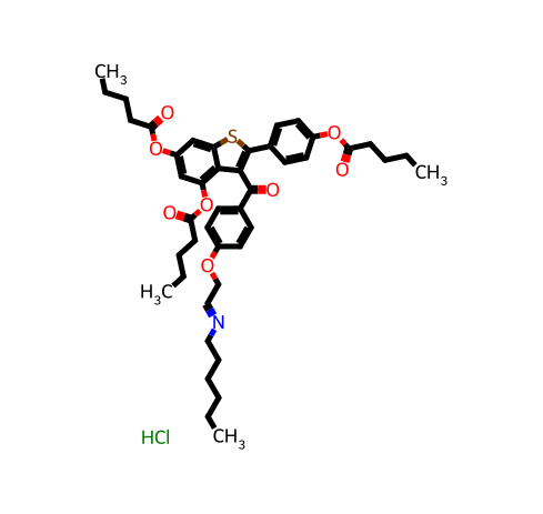 CCCCCCN=CCOc1ccc(C(=O)c2c(-c3ccc(OC(=O)CCCC)cc3)sc3cc(OC(=O)CCCC)cc(OC(=O)CCCC)c23)cc1.Cl